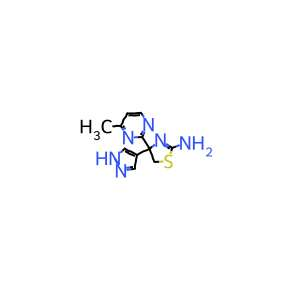 Cc1ccnc(C2(c3cn[nH]c3)CSC(N)=N2)n1